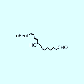 CCCCC/C=C\C=C\C(O)C/C=C\CCCCC=O